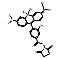 Cc1cc(C(=O)ON2C(=O)CCC2=O)ccc1C1=C2C=CC(=[N+](C)C)C=C2[Si](C(C)C)(C(C)C)c2cc(N(C)C)ccc21